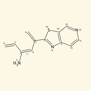 C=C/C(N)=C\C(=C)c1nc2ccncc2s1